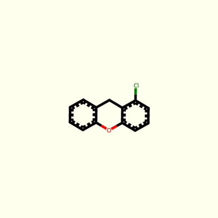 Clc1cccc2c1Cc1ccccc1O2